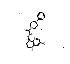 S=C(N/N=C1/CCNc2cc(Cl)cnc21)N1CCN(c2ccccc2)CC1